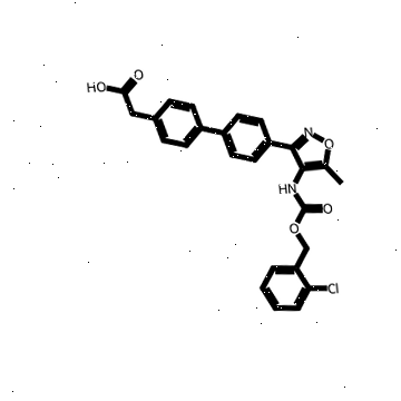 Cc1onc(-c2ccc(-c3ccc(CC(=O)O)cc3)cc2)c1NC(=O)OCc1ccccc1Cl